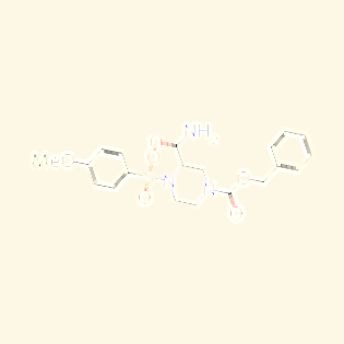 COc1ccc(S(=O)(=O)N2CCN(C(=O)OCc3ccccc3)CC2C(N)=O)cc1